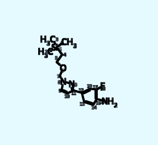 C[Si](C)(C)CCOCn1ccc(-c2ccc(N)c(F)c2)n1